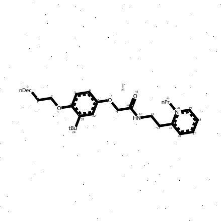 CCCCCCCCCCCCOc1ccc(OCC(=O)NCCc2cccc[n+]2CCC)cc1C(C)(C)C.[I-]